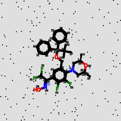 C[C@@H]1CN(c2c(CO[Si](c3ccccc3)(c3ccccc3)C(C)(C)C)cc(/C(=N/O)C(F)F)c(F)c2F)C[C@H](C)O1